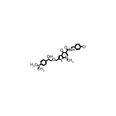 CN(C)c1ccc([C@H](O)COCc2cc3c(=O)c(C(=O)NCc4ccc(Cl)cc4)cn(C)c3s2)cc1